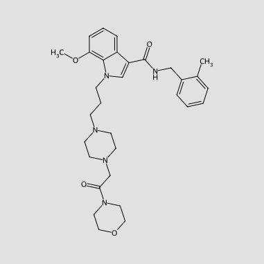 COc1cccc2c(C(=O)NCc3ccccc3C)cn(CCCN3CCN(CC(=O)N4CCOCC4)CC3)c12